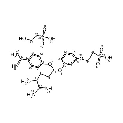 CC(CCC(Oc1ccccc1)Oc1ccc(C(=N)N)cc1)C(=N)N.O=S(=O)(O)CCO.O=S(=O)(O)CCO